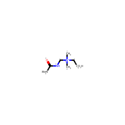 CNC(=O)NC[N+](C)(C)CC(=O)O